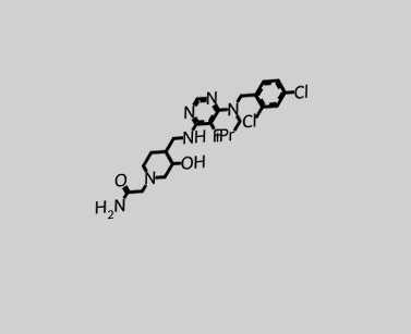 CC(C)CN(Cc1ccc(Cl)cc1Cl)c1ncnc(NCC2CCN(CC(N)=O)CC2O)c1F